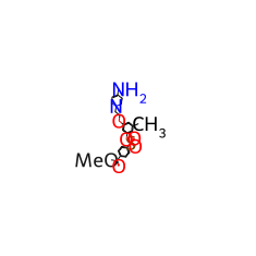 COC(=O)c1ccc(S(=O)(=O)Oc2cc(C)cc(OCCN3C=CC(N)=CC3)c2)cc1